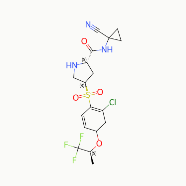 C[C@H](OC1C=CC(S(=O)(=O)[C@H]2CN[C@H](C(=O)NC3(C#N)CC3)C2)=C(Cl)C1)C(F)(F)F